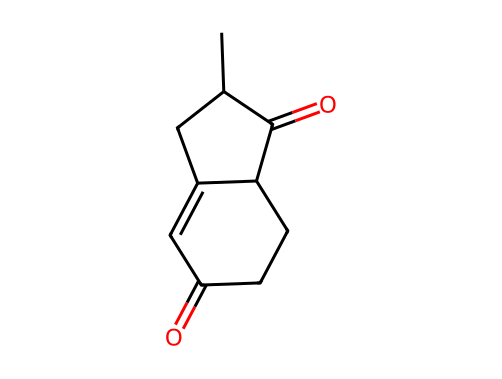 CC1CC2=CC(=O)CCC2C1=O